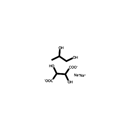 CC(O)CO.O=C([O-])C(O)C(O)C(=O)[O-].[Na+].[Na+]